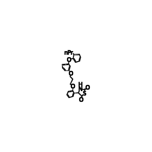 CCCc1ccccc1Oc1cccc(OCCCOc2ccccc2C2NC(=O)SC2=O)c1